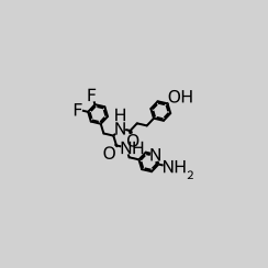 Nc1ccc(CNC(=O)C(Cc2ccc(F)c(F)c2)NC(=O)CCc2ccc(O)cc2)cn1